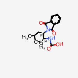 CC(C)C[C@H]([C@H](C)NC(=O)O)N1C(=O)c2ccccc2C1=O